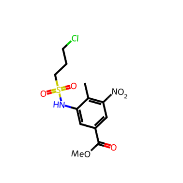 COC(=O)c1cc(NS(=O)(=O)CCCCl)c(C)c([N+](=O)[O-])c1